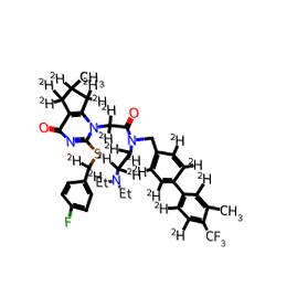 [2H]c1c([2H])c(-c2c([2H])c([2H])c(C(F)(F)F)c(C)c2[2H])c([2H])c([2H])c1CN(C(=O)C([2H])([2H])n1c(SC([2H])([2H])c2ccc(F)cc2)nc(=O)c2c1C([2H])([2H])C([2H])(C)C2([2H])[2H])C([2H])([2H])C([2H])([2H])N(CC)CC